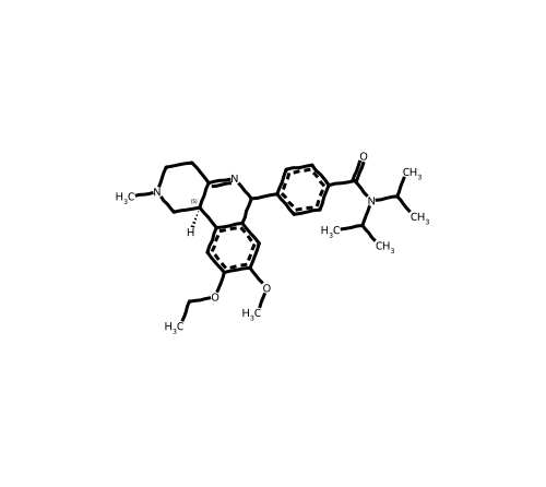 CCOc1cc2c(cc1OC)C(c1ccc(C(=O)N(C(C)C)C(C)C)cc1)N=C1CCN(C)C[C@@H]12